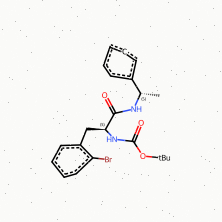 C[C@H](NC(=O)[C@H](Cc1ccccc1Br)NC(=O)OC(C)(C)C)c1ccccc1